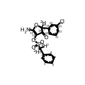 [2H]C([2H])(c1ccccc1)S(=O)(=O)OC1=C(N)O[C@]([2H])(c2cccc(Cl)c2)C1=O